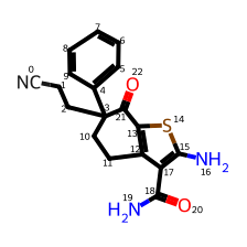 N#CCCC1(c2ccccc2)CCc2c(sc(N)c2C(N)=O)C1=O